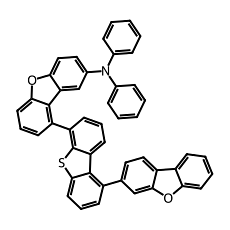 c1ccc(N(c2ccccc2)c2ccc3oc4cccc(-c5cccc6c5sc5cccc(-c7ccc8c(c7)oc7ccccc78)c56)c4c3c2)cc1